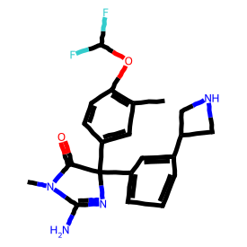 Cc1cc(C2(c3cccc(C4CNC4)c3)N=C(N)N(C)C2=O)ccc1OC(F)F